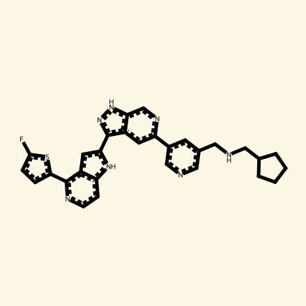 Fc1ccc(-c2nccc3[nH]c(-c4n[nH]c5cnc(-c6cncc(CNCC7CCCC7)c6)cc45)cc23)s1